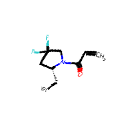 C=CC(=O)N1CC(F)(F)C[C@H]1CC(C)C